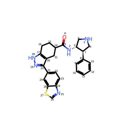 O=C(N[C@@H]1CNC[C@H]1c1ccccc1)C1CCc2[nH]nc(-c3ccc4ncsc4c3)c2C1